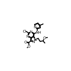 COC(=O)c1nn(CCC(C)OC)c2c(Nc3cc(C)ccn3)nc(Cl)nc12